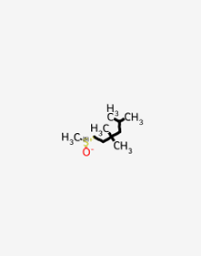 CC(C)CC(C)(C)CC[S@@+](C)[O-]